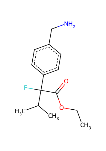 CCOC(=O)C(F)(c1ccc(CN)cc1)C(C)C